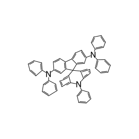 c1ccc(N(c2ccccc2)c2ccc3c(c2)C2(c4cc(N(c5ccccc5)c5ccccc5)ccc4-3)c3ccccc3N(c3ccccc3)c3ccccc32)cc1